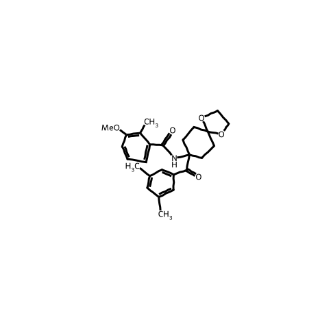 COc1cccc(C(=O)NC2(C(=O)c3cc(C)cc(C)c3)CCC3(CC2)OCCO3)c1C